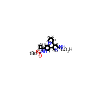 CC(C)(C)OC(=O)NC1(c2ccc(-c3cnc(NC(=O)O)cc3-c3ccccn3)cc2)CCC1